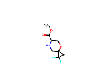 COC(=O)C1COC2(CN1)CC2(F)F